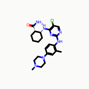 Cc1cc(N2CCN(C)CC2)ccc1Nc1ncc(Cl)c(N[C@@H]2CCCC[C@@H]2C(N)=O)n1